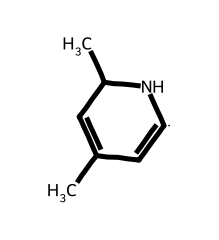 CC1=CC(C)N[C]=C1